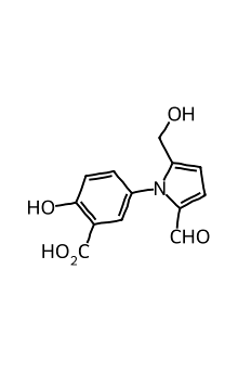 O=Cc1ccc(CO)n1-c1ccc(O)c(C(=O)O)c1